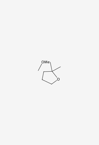 CC1(C)CCCO1.COC